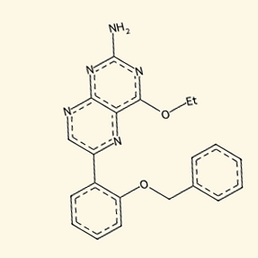 CCOc1nc(N)nc2ncc(-c3ccccc3OCc3ccccc3)nc12